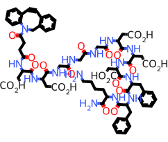 NCCCCC(NC(=O)C(Cc1ccccc1)NC(=O)C(Cc1ccccc1)NC(=O)C(CC(=O)O)NC(=O)C(CC(=O)O)NC(=O)C(CC(=O)O)NC(=O)CNC(=O)CNC(=O)CNC(=O)C(CC(=O)O)NC(=O)C(CC(=O)O)NC(=O)CCC(=O)N1Cc2ccccc2C#Cc2ccccc21)C(N)=O